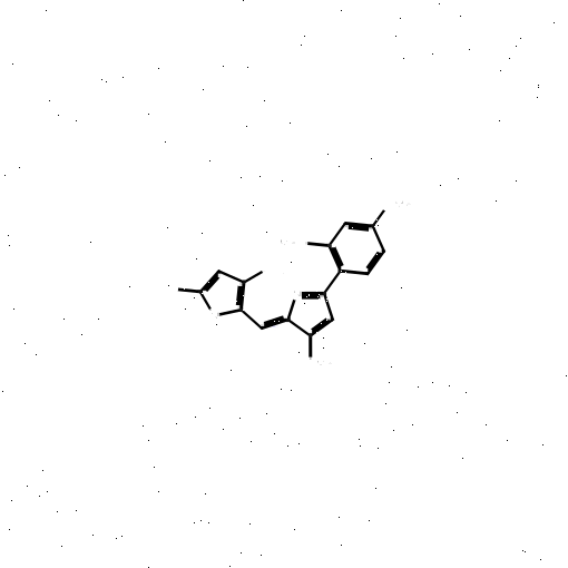 COC1=CC(c2ccc(OC)cc2OC)=N/C1=C\c1[nH]c(C)cc1C